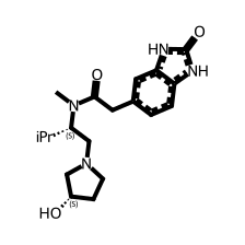 CC(C)[C@@H](CN1CC[C@H](O)C1)N(C)C(=O)Cc1ccc2[nH]c(=O)[nH]c2c1